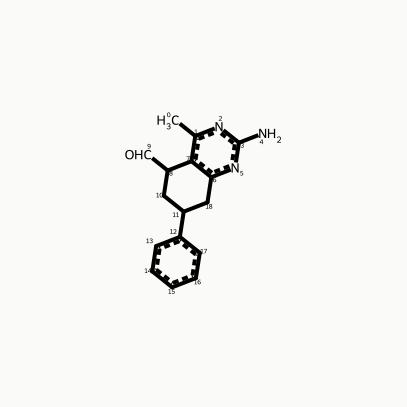 Cc1nc(N)nc2c1C(C=O)CC(c1ccccc1)C2